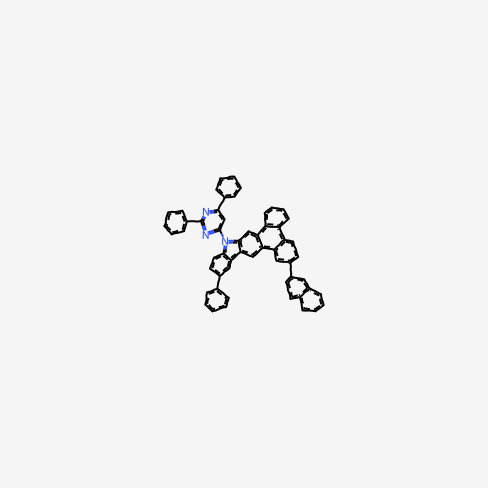 c1ccc(-c2ccc3c(c2)c2cc4c5cc(-c6ccc7ccccc7c6)ccc5c5ccccc5c4cc2n3-c2cc(-c3ccccc3)nc(-c3ccccc3)n2)cc1